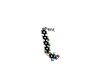 CCCCCc1ccc(-c2ccc(-c3ccc(-c4ccc(C(F)(F)Oc5cc(F)c(N=C=S)c(F)c5)cc4)c(F)c3)c(F)c2)cc1